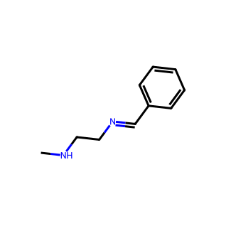 CNCCN=Cc1ccccc1